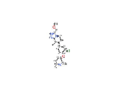 CCOCc1nnc2c(C)c(-c3ccc(Oc4ccc(C)nc4C)c(Cl)c3)ccn12